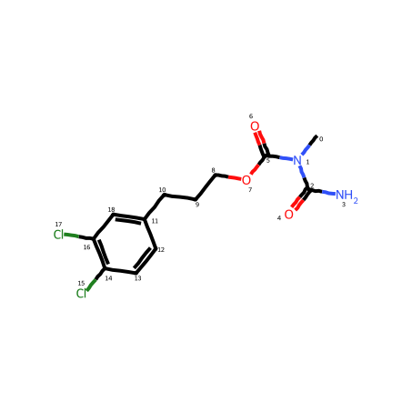 CN(C(N)=O)C(=O)OCCCc1ccc(Cl)c(Cl)c1